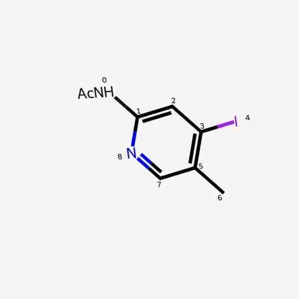 CC(=O)Nc1cc(I)c(C)cn1